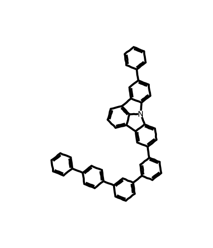 c1ccc(-c2ccc(-c3cccc(-c4cccc(-c5ccc6c(c5)c5cccc7c8cc(-c9ccccc9)ccc8n6c75)c4)c3)cc2)cc1